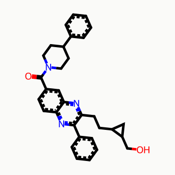 O=C(c1ccc2nc(-c3ccccc3)c(CCC3CC3CO)nc2c1)N1CCC(c2ccccc2)CC1